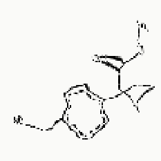 COC(=O)C1(c2ccc(CO)cc2)CC1